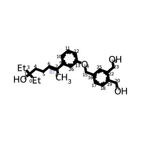 CCC(O)(CC)CC/C=C(\C)c1cccc(OCc2ccc(CO)c(CO)c2)c1